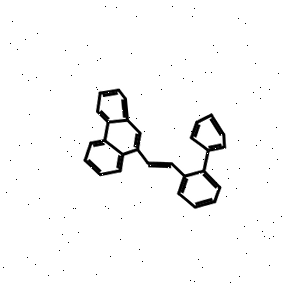 C(=Cc1cc2ccccc2c2ccccc12)c1ccccc1-c1ccccc1